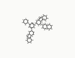 c1ccc(-c2nc(-c3ccc4c(c3)oc3ccccc34)cc(-c3cc(-c4ccc5ccccc5c4)c4c(c3)oc3ccccc34)n2)cc1